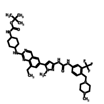 CCc1cc(-c2cc(NC(=O)Nc3ccc(CN4CCN(C)CC4)c(C(F)(F)F)c3)nn2C)cc2cnc(NC3CCC(NC(=O)OC(C)(C)C)CC3)nc12